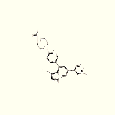 CC(=O)N1CCN(c2ccc(-c3cc(-c4cnn(C)c4)cn4ncc(Cl)c34)cn2)CC1